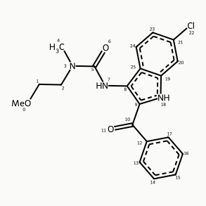 COCCN(C)C(=O)Nc1c(C(=O)c2ccccc2)[nH]c2cc(Cl)ccc12